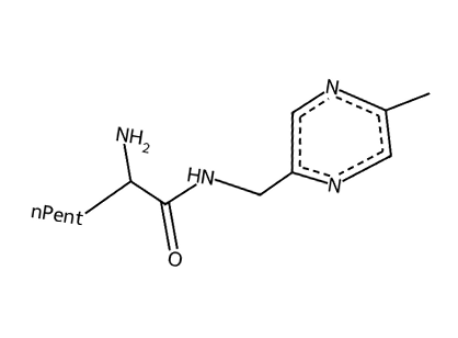 CCCCCC(N)C(=O)NCc1cnc(C)cn1